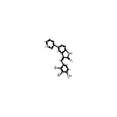 O=C1Nc2ccc(-c3cccnc3)cc2C1=Cc1ccc(O)c(Br)c1Br